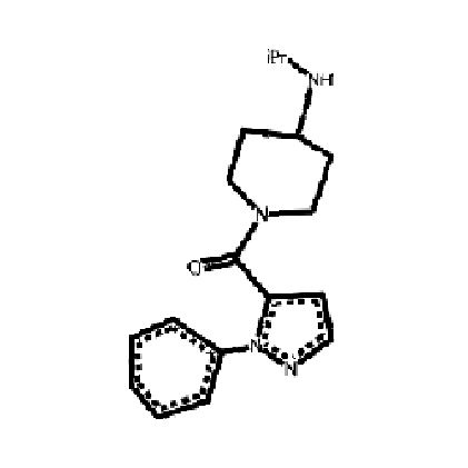 CC(C)NC1CCN(C(=O)c2ccnn2-c2ccccc2)CC1